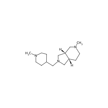 CN1CCC(CN2C[C@H]3CCN(C)C[C@H]3C2)CC1